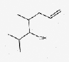 C=CCC(C)C(O)C(C)C